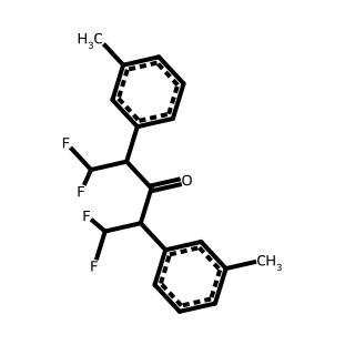 Cc1cccc(C(C(=O)C(c2cccc(C)c2)C(F)F)C(F)F)c1